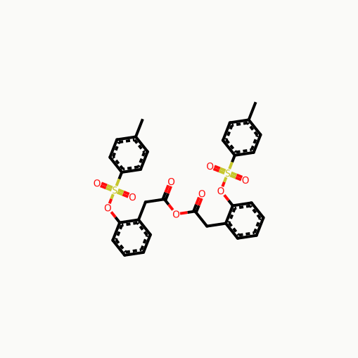 Cc1ccc(S(=O)(=O)Oc2ccccc2CC(=O)OC(=O)Cc2ccccc2OS(=O)(=O)c2ccc(C)cc2)cc1